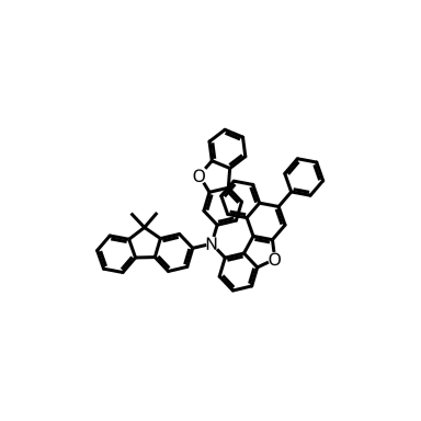 CC1(C)c2ccccc2-c2ccc(N(c3ccc4c(c3)oc3ccccc34)c3cccc4oc5cc(-c6ccccc6)c6ccccc6c5c34)cc21